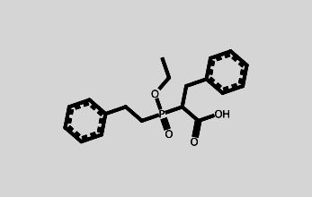 CCOP(=O)(CCc1ccccc1)C(Cc1ccccc1)C(=O)O